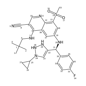 CC(C)(C)CNc1c(C#N)cnc2c(S(C)(=O)=O)cc(N[C@H](C3=CN(C4CC4)NN3)c3ccc(F)cc3)cc12